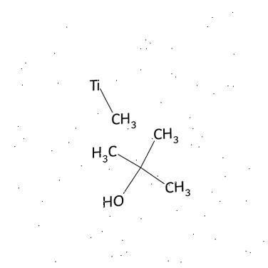 CC(C)(C)O.[CH3][Ti]